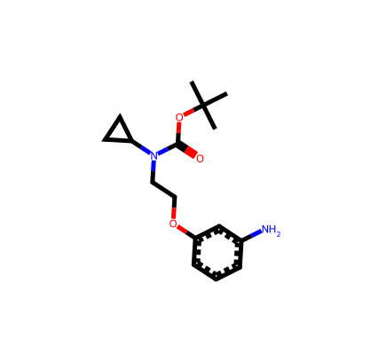 CC(C)(C)OC(=O)N(CCOc1cccc(N)c1)C1CC1